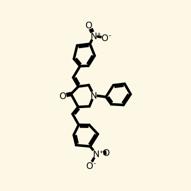 O=C1/C(=C/c2ccc([N+](=O)[O-])cc2)CN(c2ccccc2)C/C1=C\c1ccc([N+](=O)[O-])cc1